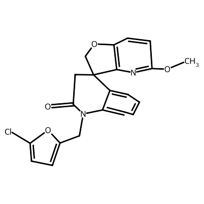 COc1ccc2c(n1)C1(CO2)CC(=O)N(Cc2ccc(Cl)o2)c2ccccc21